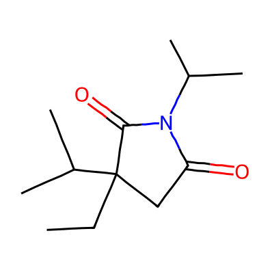 CCC1(C(C)C)CC(=O)N(C(C)C)C1=O